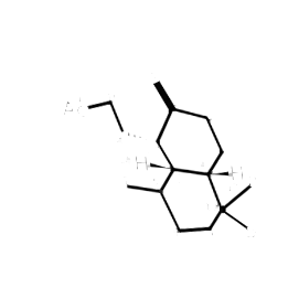 C=C1CC[C@H]2[C@H](C(C)CCC2(C)C)[C@@H]1CCC(C)=O